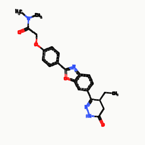 CCC1CC(=O)NN=C1c1ccc2nc(-c3ccc(OCC(=O)N(C)C)cc3)oc2c1